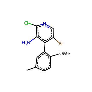 COc1ccc(C)cc1-c1c(Br)cnc(Cl)c1N